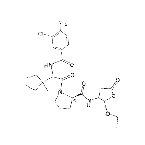 CCOC1OC(=O)CC1NC(=O)[C@H]1CCCN1C(=O)C(NC(=O)c1ccc(N)c(Cl)c1)C(C)(CC)CC